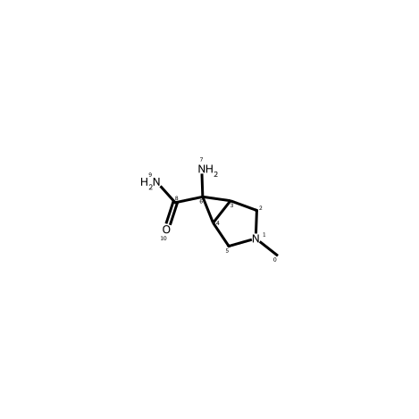 CN1CC2C(C1)C2(N)C(N)=O